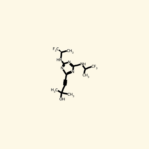 CC(Nc1nc(C#CC(C)(C)O)nc(N[C@H](C)C(F)(F)F)n1)C(F)(F)F